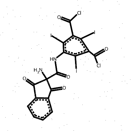 NC1(C(=O)Nc2c(I)c(C(=O)Cl)c(I)c(C(=O)Cl)c2I)C(=O)c2ccccc2C1=O